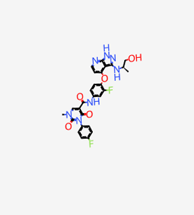 C[C@H](CO)Nc1n[nH]c2nccc(Oc3ccc(NC(=O)c4cn(C)c(=O)n(-c5ccc(F)cc5)c4=O)cc3F)c12